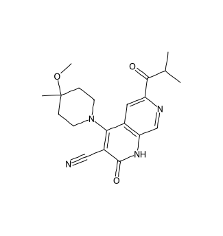 COC1(C)CCN(c2c(C#N)c(=O)[nH]c3cnc(C(=O)C(C)C)cc23)CC1